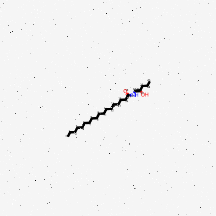 CCCCCCCCCCCCCCCCCC(=O)NC=C(O)CCC